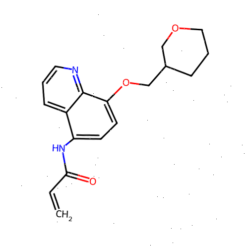 C=CC(=O)Nc1ccc(OCC2CCCOC2)c2ncccc12